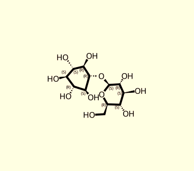 OC[C@H]1O[C@@H](O[C@H]2[C@H](O)[C@@H](O)[C@H](O)[C@@H](O)[C@@H]2O)[C@H](O)[C@@H](O)[C@@H]1O